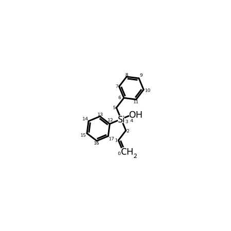 C=CC[Si](O)(Cc1ccccc1)c1ccccc1